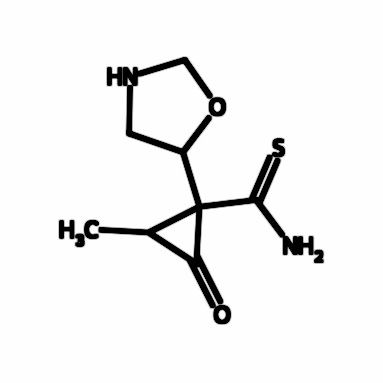 CC1C(=O)C1(C(N)=S)C1CNCO1